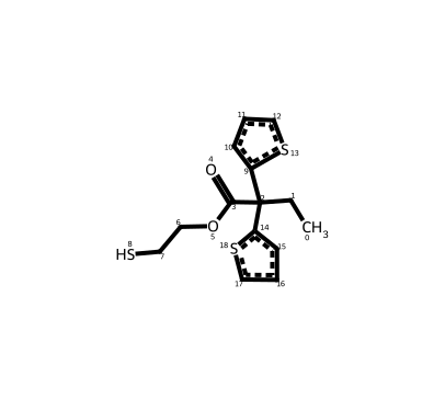 CCC(C(=O)OCCS)(c1cccs1)c1cccs1